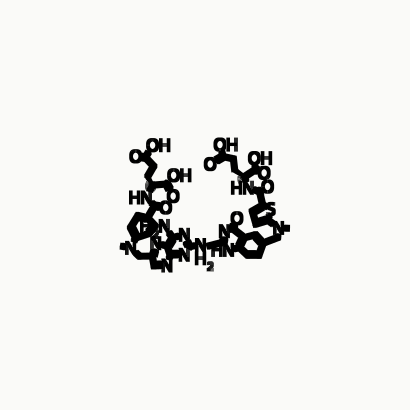 CN(Cc1cnc2nc(N)nc(N)c2n1)c1ccc(C(=O)N[C@@H](CCC(=O)O)C(=O)O)cc1.Cc1nc(=O)c2cc(CN(C)c3ccc(C(=O)N[C@@H](CCC(=O)O)C(=O)O)s3)ccc2[nH]1